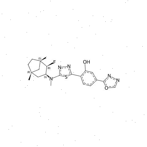 CN(c1nnc(-c2ccc(-c3nnco3)cc2O)s1)[C@H]1C[C@]2(C)CC[C@@](C)(C2)[C@H]1F